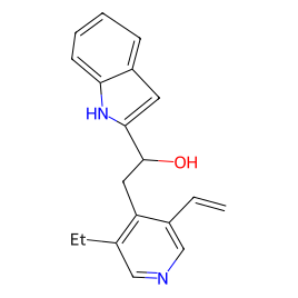 C=Cc1cncc(CC)c1CC(O)c1cc2ccccc2[nH]1